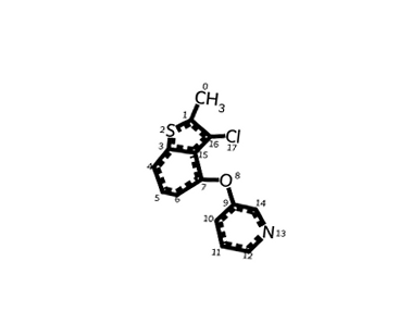 Cc1sc2cccc(Oc3cccnc3)c2c1Cl